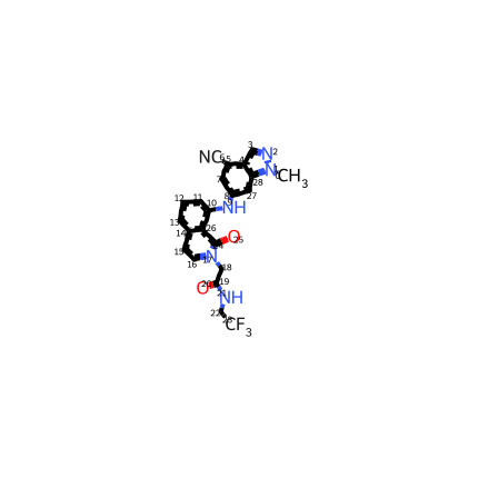 Cn1ncc2c(C#N)cc(Nc3cccc4ccn(CC(=O)NCC(F)(F)F)c(=O)c34)cc21